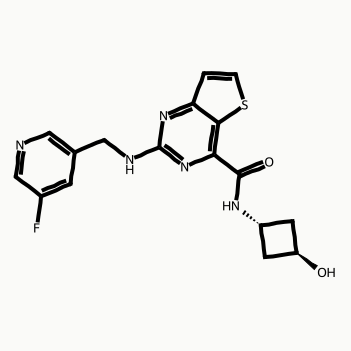 O=C(N[C@H]1C[C@H](O)C1)c1nc(NCc2cncc(F)c2)nc2ccsc12